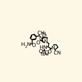 CC(c1cccc(C(N)=O)c1)N1C(=O)C2C[C@H]1CN2CC(NC(=O)OC(C)(C)C)C(=O)N1CCCC1C#N